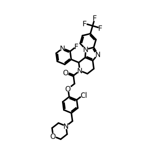 O=C(COc1ccc(CN2CCOCC2)cc1Cl)N1CCc2nc3cc(C(F)(F)F)ccn3c2C1c1cccnc1F